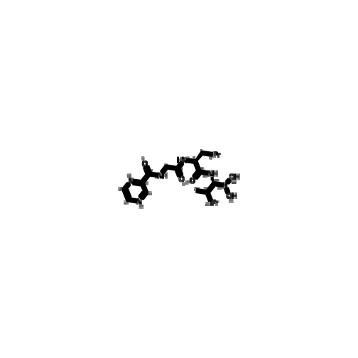 CC(C)C[C@H](NC(=O)CNC(=O)c1cnccn1)C(=O)N[C@H](B(O)O)C(C)C(C)C